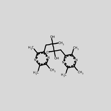 Cc1nc(C)c(CC(C)(O)C(C)(O)Cc2nc(C)c(C)nc2C)nc1C